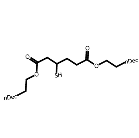 CCCCCCCCCCCCOC(=O)CCC(S)CC(=O)OCCCCCCCCCCCC